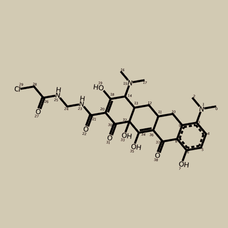 CN(C)c1ccc(O)c2c1CC1CC3C(N(C)C)C(O)=C(C(=O)NCNC(=O)CCl)C(=O)C3(O)C(O)=C1C2=O